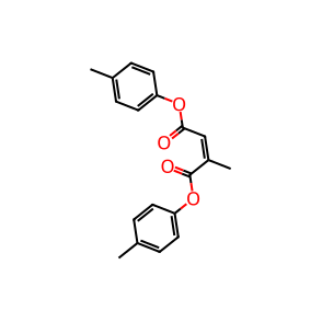 CC(=CC(=O)Oc1ccc(C)cc1)C(=O)Oc1ccc(C)cc1